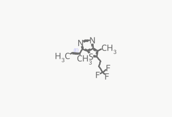 C/C=C(\C)c1ncnc2c(C)c(CCC(F)(F)F)sc12